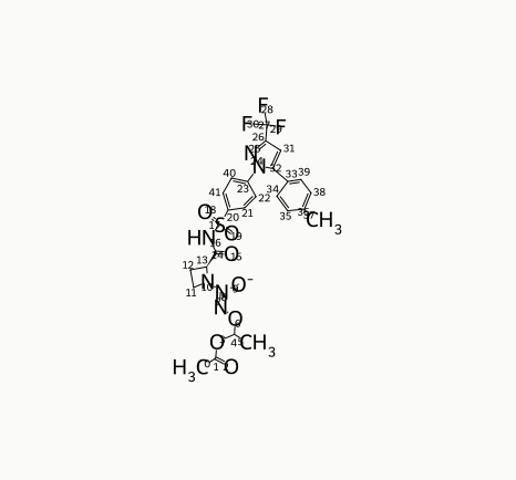 CC(=O)OC(C)ON=[N+]([O-])N1CC[C@H]1C(=O)NS(=O)(=O)c1ccc(-n2nc(C(F)(F)F)cc2-c2ccc(C)cc2)cc1